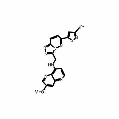 COc1cnc2c(NCc3nnc4ccc(-c5cc(C(C)C)ns5)nn34)ccnc2c1